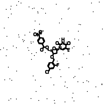 O=C(OC[C@@H]1O[C@H](n2cc(F)c(=O)[nH]c2=O)CC1OCc1ccc(Cl)cc1F)c1ccc([N+](=O)[O-])cc1